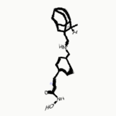 C[C@H]1C2CC3CC(C2)CC1(CNCC1C=CC(/C=C/C(=O)NO)=CC1)C3